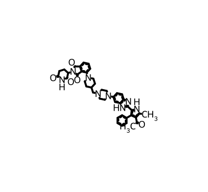 CC(=O)c1c(C)[nH]c(-c2nc3ccc(N4CCN(CC5CCN(c6cccc7c6C(=O)N(C6CCC(=O)NC6=O)C7=O)CC5)CC4)cc3[nH]2)c1-c1ccccc1